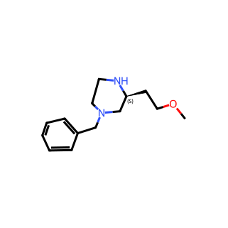 COCC[C@H]1CN(Cc2ccccc2)CCN1